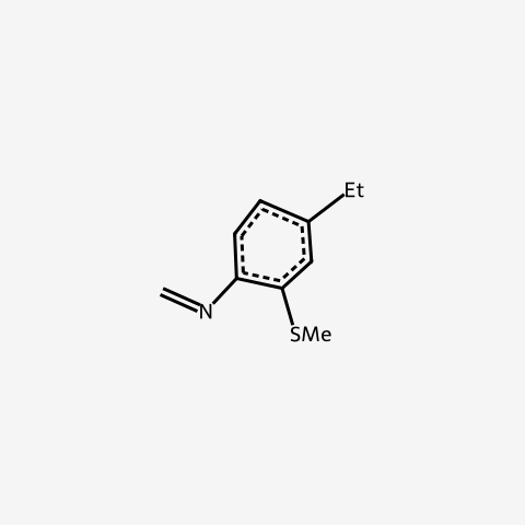 C=Nc1ccc(CC)cc1SC